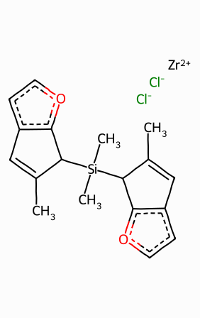 CC1=Cc2ccoc2C1[Si](C)(C)C1C(C)=Cc2ccoc21.[Cl-].[Cl-].[Zr+2]